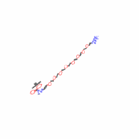 CN(CCOCCOCCOCCOCCOCCOCCOCCOCCN=[N+]=[N-])C(=O)OC(C)(C)C